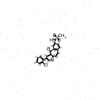 CS(=O)(=O)Nc1ccc2ccc3ncc(-c4ccccc4Cl)cc3c(=O)c2c1